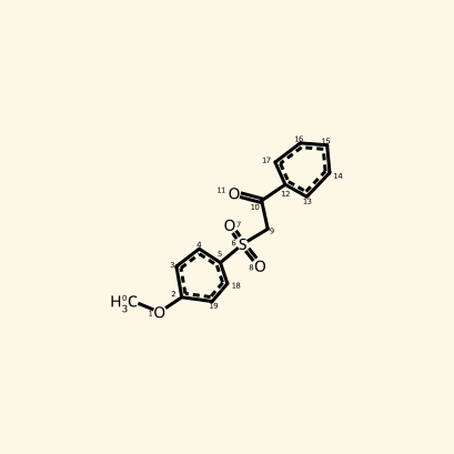 COc1ccc(S(=O)(=O)CC(=O)c2ccccc2)cc1